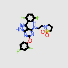 O=S1(=O)CCCN1CCNc1nc(Oc2ccc(F)cc2F)nc2[nH]nc(-c3cc(F)ccc3F)c12